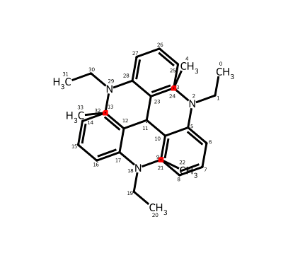 CCN(CC)c1ccccc1[C](c1ccccc1N(CC)CC)c1ccccc1N(CC)CC